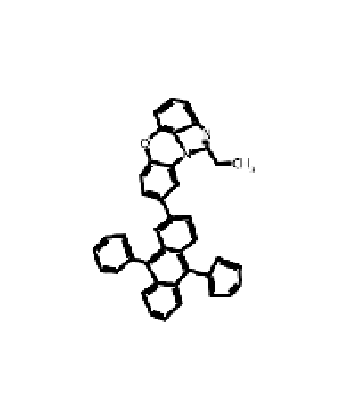 CCc1nc2cccc3c2n1-c1cc(-c2ccc4c(-c5ccccc5)c5ccccc5c(-c5ccccc5)c4c2)ccc1O3